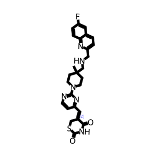 CC1(CNCc2ccc3cc(F)ccc3n2)CCN(c2nccc(/C=C3\CSC(=O)NC3=O)n2)CC1